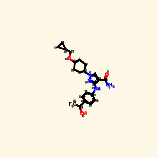 NC(=O)c1cn(C2CCC(OCC3CC3)CC2)nc1Nc1ccc(C(O)C(F)(F)F)cc1